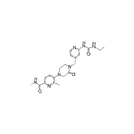 CCNC(=O)Nc1cc(CN2CCN(c3ccc(C(=O)NC)nc3C)CC2=O)ccn1